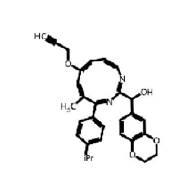 C#CCOc1cccnc(C(O)c2ccc3c(c2)OCCO3)nc(-c2ccc(C(C)C)cc2)c(C)c1